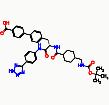 CC(C)(C)OC(=O)NCC1CCC(C(=O)N[C@@H](Cc2ccc(-c3ccc(C(=O)O)cc3)cc2)C(=O)Nc2ccc(-c3nn[nH]n3)cc2)CC1